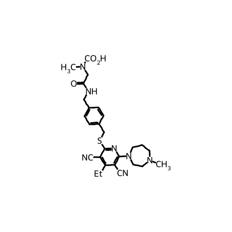 CCc1c(C#N)c(SCc2ccc(CNC(=O)CN(C)C(=O)O)cc2)nc(N2CCCN(C)CC2)c1C#N